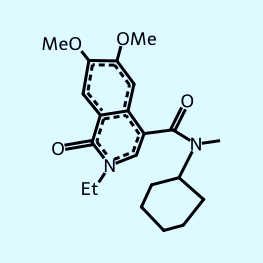 CCn1cc(C(=O)N(C)C2CCCCC2)c2cc(OC)c(OC)cc2c1=O